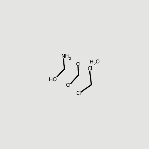 ClCCl.ClCCl.NCO.O